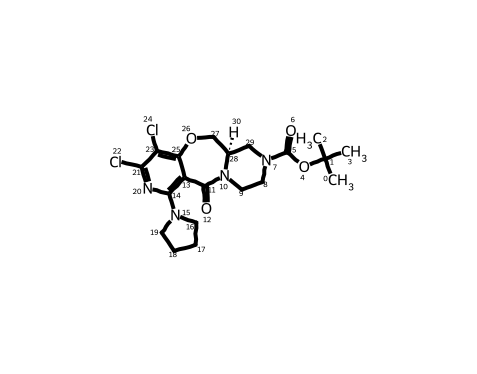 CC(C)(C)OC(=O)N1CCN2C(=O)c3c(N4CCCC4)nc(Cl)c(Cl)c3OC[C@H]2C1